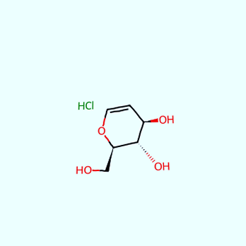 Cl.OC[C@H]1OC=C[C@@H](O)[C@@H]1O